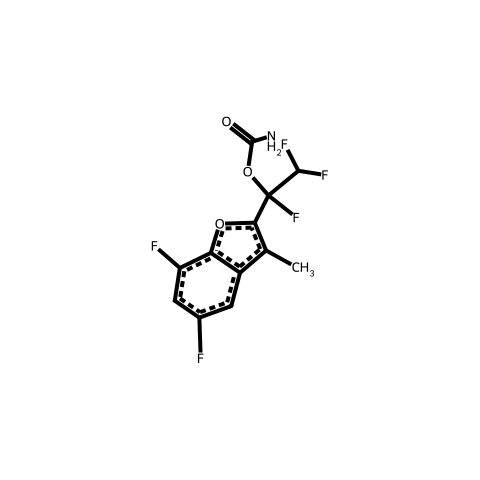 Cc1c(C(F)(OC(N)=O)C(F)F)oc2c(F)cc(F)cc12